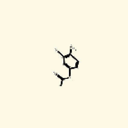 Bc1ccc(OC(C)=O)cc1F